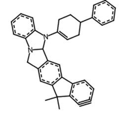 CC1(C)c2c#cccc2-c2cc3c(cc21)CN1c2ccccc2N(C2=CCC(c4ccccc4)CC2)C31